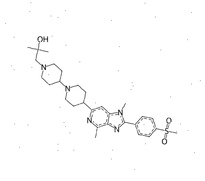 Cc1nc(C2CCN(C3CCN(CC(C)(C)O)CC3)CC2)cc2c1nc(-c1ccc(S(C)(=O)=O)cc1)n2C